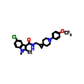 CCc1c(C(=O)NCC2CC23CCN(c2ccc(OC(F)(F)F)cc2)CC3)c2cc(Cl)ccc2n1C